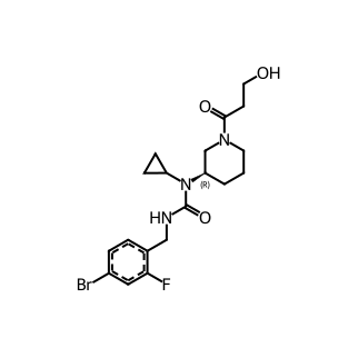 O=C(CCO)N1CCC[C@@H](N(C(=O)NCc2ccc(Br)cc2F)C2CC2)C1